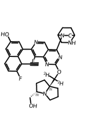 [2H]C([2H])(Oc1nc(N2CC3CCC2CN3)c2cnc(-c3cc(O)cc4ccc(F)c(C#C)c34)c(F)c2n1)[C@@]12CCCN1[C@H](CO)CC2